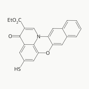 CCOC(=O)c1cn2c3c(cc(S)cc3c1=O)Oc1cc3ccccc3cc1-2